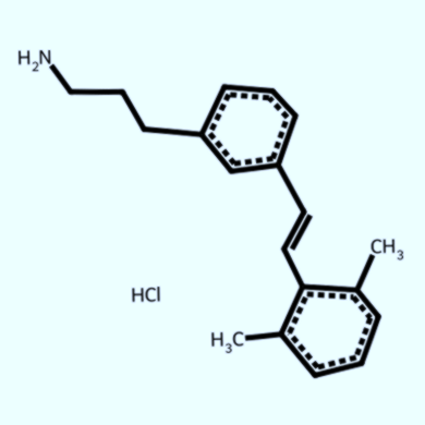 Cc1cccc(C)c1C=Cc1cccc(CCCN)c1.Cl